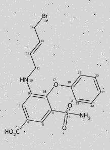 NS(=O)(=O)c1cc(C(=O)O)cc(NCC=CCBr)c1Oc1ccccc1